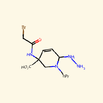 CCCN1CC(NC(=O)CBr)(C(=O)O)C=CC1NN